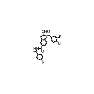 CC(NC(=O)c1ccc2c(c1)cc(C=O)n2Cc1ccc(Cl)c(F)c1)c1ccc(F)cc1